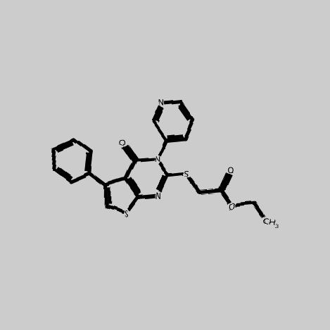 CCOC(=O)CSc1nc2scc(-c3ccccc3)c2c(=O)n1-c1cccnc1